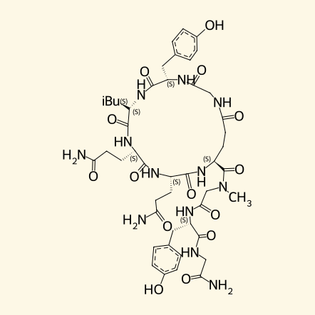 CC[C@H](C)[C@@H]1NC(=O)[C@H](Cc2ccc(O)cc2)NC(=O)CNC(=O)CC[C@@H](C(=O)N(C)CC(=O)N[C@@H](Cc2ccc(O)cc2)C(=O)NCC(N)=O)NC(=O)[C@H](CCC(N)=O)NC(=O)[C@H](CCC(N)=O)NC1=O